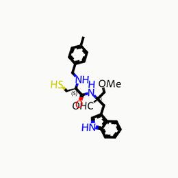 COC[C@](C=O)(Cc1c[nH]c2ccccc12)NC(=O)[C@@H](CS)NCc1ccc(C)cc1